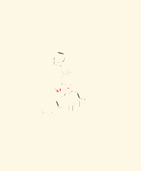 CC(C)=C[SiH2]OC(O[SiH2]C=C(C)C)O[SiH2]C1CC2C=CC1C2